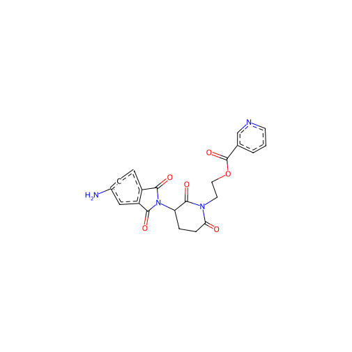 Nc1ccc2c(c1)C(=O)N(C1CCC(=O)N(CCOC(=O)c3cccnc3)C1=O)C2=O